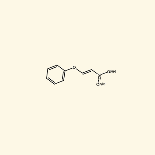 CO[SiH](C=COc1ccccc1)OC